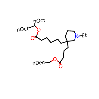 CCCCCCCCCCCOC(=O)CCCC1(CCCCCC(=O)OC(CCCCCCCC)CCCCCCCC)CCCN(CC)C1